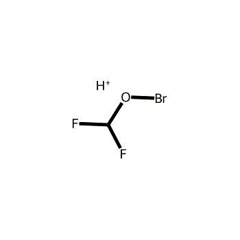 FC(F)OBr.[H+]